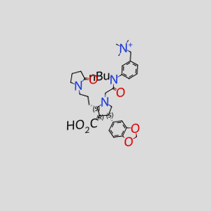 CCCCN(C(=O)CN1C[C@H](c2ccc3c(c2)OCO3)[C@@H](C(=O)O)[C@@H]1CCCN1CCCC1=O)c1cccc(C[N+](C)(C)C)c1